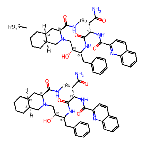 CC(C)(C)NC(=O)[C@@H]1C[C@@H]2CCCC[C@@H]2CN1C[C@@H](O)[C@H](Cc1ccccc1)NC(=O)[C@H](CC(N)=O)NC(=O)c1ccc2ccccc2n1.CC(C)(C)NC(=O)[C@@H]1C[C@@H]2CCCC[C@@H]2CN1C[C@@H](O)[C@H](Cc1ccccc1)NC(=O)[C@H](CC(N)=O)NC(=O)c1ccc2ccccc2n1.CS(=O)(=O)O